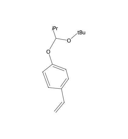 C=Cc1ccc(OC(OC(C)(C)C)C(C)C)cc1